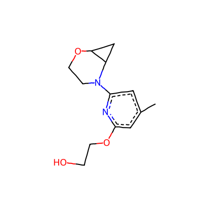 Cc1cc(OCCO)nc(N2CCOC3CC32)c1